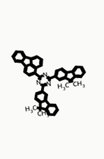 CC1(C)c2ccccc2-c2cc(-c3nc(-c4ccc5c(c4)C(C)(C)c4ccccc4-5)nc(-c4ccc5c6c(cccc46)-c4ccccc4-5)n3)ccc21